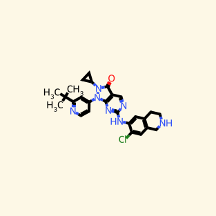 CC(C)(C)c1cc(-n2c3nc(Nc4cc5c(cc4Cl)CNCC5)ncc3c(=O)n2C2CC2)ccn1